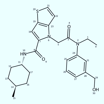 CCN(C(=O)Cn1c(C(=O)N[C@H]2CC[C@H](C)CC2)cc2sccc21)c1cccc(CO)c1